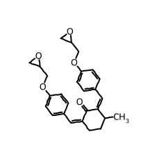 CC1CCC(=Cc2ccc(OCC3CO3)cc2)C(=O)C1=Cc1ccc(OCC2CO2)cc1